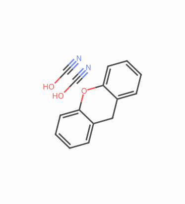 N#CO.N#CO.c1ccc2c(c1)Cc1ccccc1O2